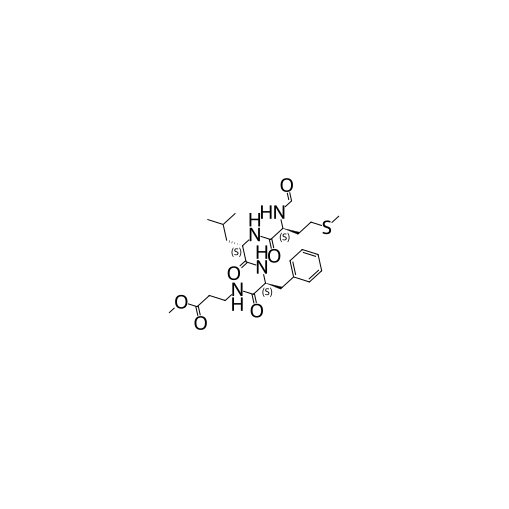 COC(=O)CCNC(=O)[C@H](Cc1ccccc1)NC(=O)[C@H](CC(C)C)NC(=O)[C@H](CCSC)NC=O